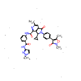 Cc1cc2c(c(C(=O)Nc3cccc(C(=O)Nc4ccn(C)n4)c3)n1)C(C1CC1)N(c1ccc(-c3c(C)on(C)c3=O)cc1)C2=O